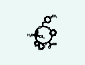 Cc1cc2cc(C)c1-c1csc3ncnc(c13)OC(C(=O)O)Cc1cccc(c1)OCC(CN1CCN(C)CC1)O2